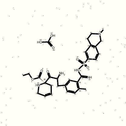 CCOC(=O)[C@]1(C(=O)C(N)Cc2ccc(C)c(C(=N)NS(=O)(=O)c3ccc4c(c3)CCN(C)C4)c2)CC=CCN1.O=C(O)O